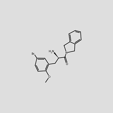 COc1ccc(Br)cc1C[C@@H](N)C(=O)N1Cc2ccccc2C1